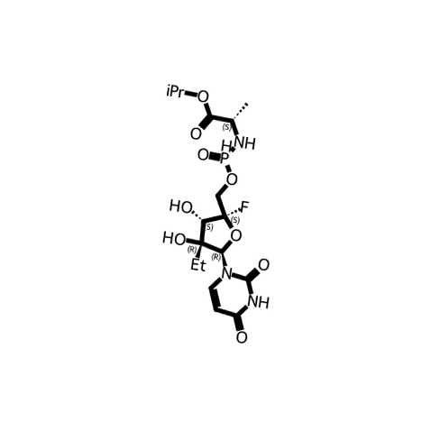 CC[C@]1(O)[C@H](n2ccc(=O)[nH]c2=O)O[C@](F)(CO[PH](=O)N[C@@H](C)C(=O)OC(C)C)[C@H]1O